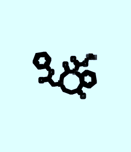 CC(C)(C)OC(=O)N1C(=O)CN(CC(=O)Oc2ccccc2)CCC(=O)c2ccccc21